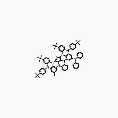 Cc1cc2c3c(c1)N1c4ccccc4N4c5cc(N(c6ccccc6)c6ccccc6)cc6c5B(c5cc(C(C)(C)C)ccc5N6c5ccc(C(C)(C)C)cc5)c5sc(c1c54)B3c1ccc(C(C)(C)C)cc1N2c1ccc(C(C)(C)C)cc1